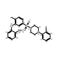 Cc1ccc(S(=O)(=O)N2CCN(c3ccccc3C)CC2)cc1Oc1ccccc1N